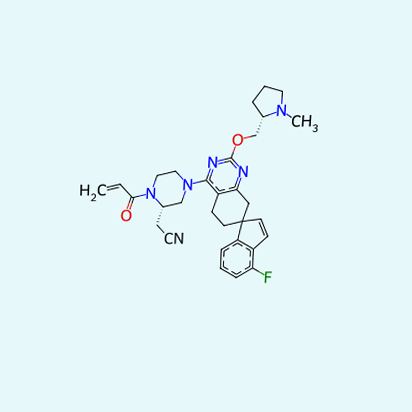 C=CC(=O)N1CCN(c2nc(OC[C@@H]3CCCN3C)nc3c2CCC2(C=Cc4c(F)cccc42)C3)C[C@@H]1CC#N